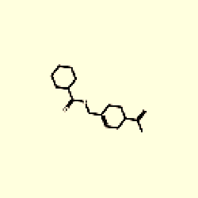 C=C(C)C1CC=C(COC(=O)C2CCCCC2)CC1